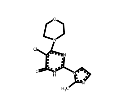 Cc1nccn1-c1nc(N2CCOCC2)c(Cl)c(=O)[nH]1